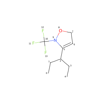 CCC(CC)C1=C[CH]ON1C(F)(F)F